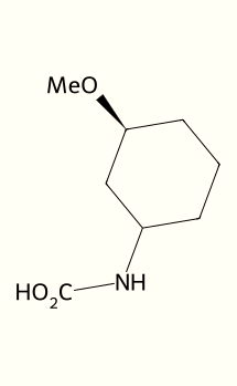 CO[C@H]1CCCC(NC(=O)O)C1